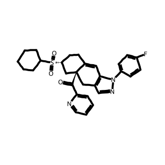 O=C(c1ccccn1)[C@]12Cc3cnn(-c4ccc(F)cc4)c3C=C1CC[C@@H](S(=O)(=O)C1CCCCC1)C2